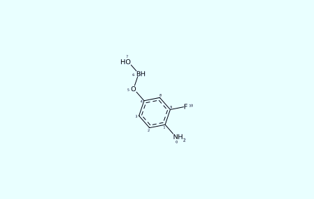 Nc1ccc(OBO)cc1F